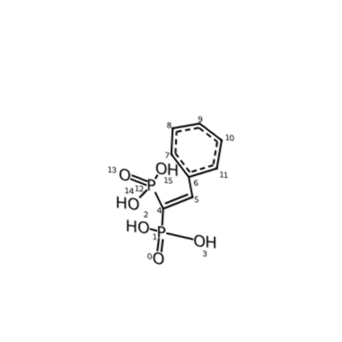 O=P(O)(O)C(=Cc1ccccc1)P(=O)(O)O